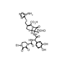 CCN1CCN(C(=O)NC(C(=O)N[C@]2(NC=O)C(=O)N3C(C(=O)O)=C(CSc4nnnn4N)CS[C@@H]32)c2ccc(O)c(O)c2)C(=O)C1=O